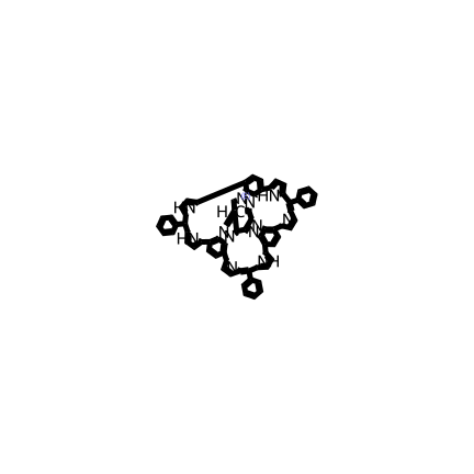 C=c1nc2/c3c4ccc2c2ccc([nH]2)c(-c2ccccc2)c2nc(c5ccc6c7ccc([nH]7)c(-c7ccccc7)c7nc(c8ccc(c9nc(c(nc89)c8nc6c5nc18)C\N=3)-c1ccc([nH]1)C(c1ccccc1)c1ccc-4[nH]1)C=C7)C=C2